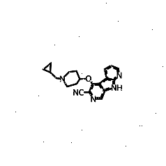 N#Cc1ncc2[nH]c3ncccc3c2c1OC1CCN(CC2CC2)CC1